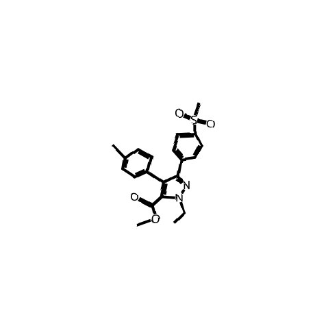 CCn1nc(-c2ccc(S(C)(=O)=O)cc2)c(-c2ccc(C)cc2)c1C(=O)OC